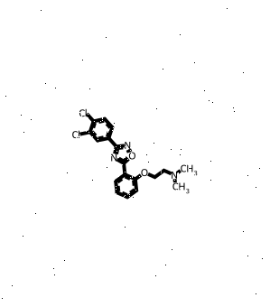 CN(C)CCOc1ccccc1-c1nc(-c2ccc(Cl)c(Cl)c2)no1